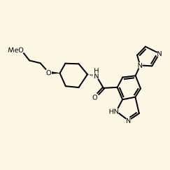 COCCO[C@H]1CC[C@H](NC(=O)c2cc(-n3ccnc3)cc3cn[nH]c23)CC1